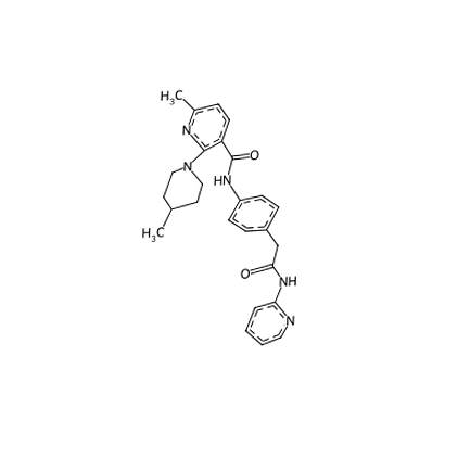 Cc1ccc(C(=O)Nc2ccc(CC(=O)Nc3ccccn3)cc2)c(N2CCC(C)CC2)n1